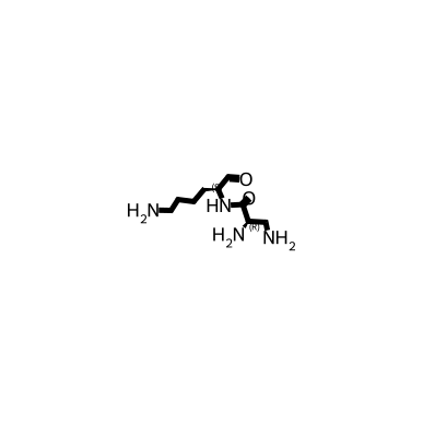 NCCCC[C@@H](C=O)NC(=O)[C@H](N)CN